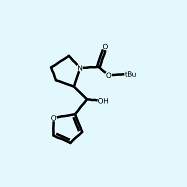 CC(C)(C)OC(=O)N1CCCC1C(O)c1ccco1